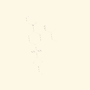 CN(CC(=O)O)C(=O)[C@@H]1CN(S(=O)(=O)N2CC(C#N)C2)CCN1C(=O)OC(C)(C)C